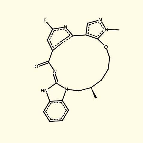 C[C@@H]1CCCOc2c(cnn2C)-c2cc(cc(F)n2)C(=O)/N=C2\Nc3ccccc3N2C1